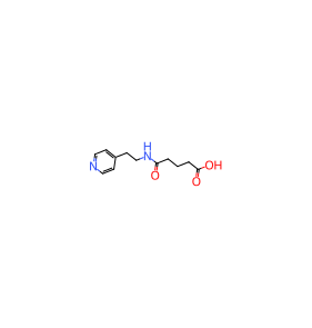 O=C(O)CCCC(=O)NCCc1ccncc1